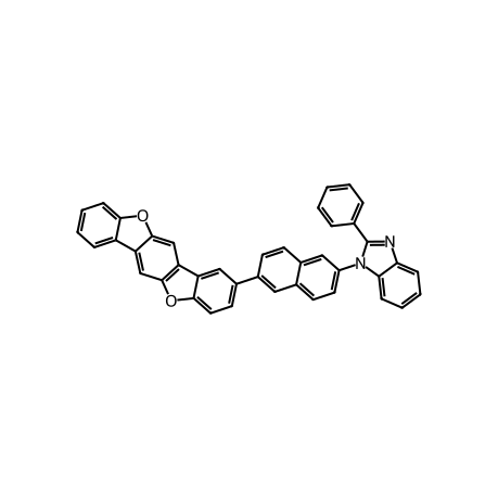 c1ccc(-c2nc3ccccc3n2-c2ccc3cc(-c4ccc5oc6cc7c(cc6c5c4)oc4ccccc47)ccc3c2)cc1